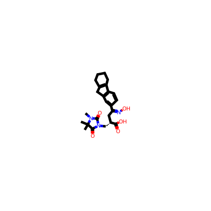 CN1C(=O)N(C[C@H](CC(=NO)c2ccc3c(c2)CC2=C3CCCC2)C(=O)O)C(=O)C1(C)C